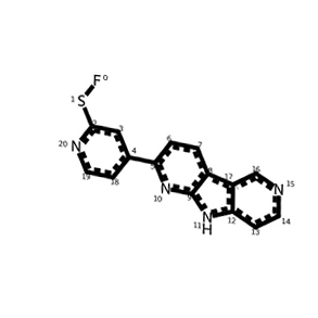 FSc1cc(-c2ccc3c(n2)[nH]c2ccncc23)ccn1